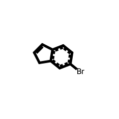 Brc1ccc2c(c1)CC=C2